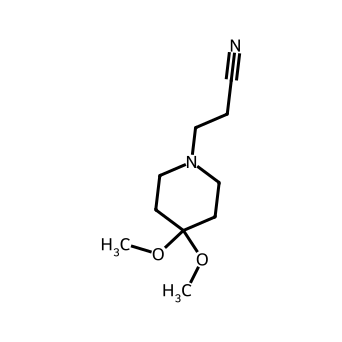 COC1(OC)CCN(CCC#N)CC1